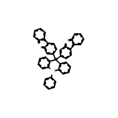 c1ccc(N2c3ccccc3C(c3ccc4c(c3)oc3ccccc34)(c3ccc4c(c3)oc3ccccc34)c3ccccc32)cc1